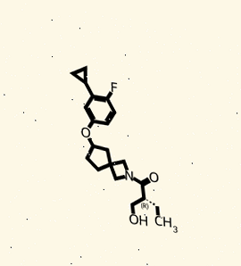 CC[C@H](CO)C(=O)N1CC2(CCC(Oc3ccc(F)c(C4CC4)c3)C2)C1